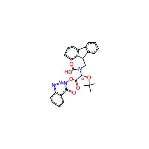 CC(C)(C)O[C@@H](C(=O)On1nnc2ccccc2c1=O)N(CC1c2ccccc2-c2ccccc21)C(=O)O